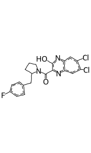 O=C(c1nc2cc(Cl)c(Cl)cc2nc1O)N1CCCC1Cc1ccc(F)cc1